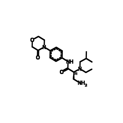 CCN(CC(C)C)[C@@H](CN)C(=O)Nc1ccc(N2CCOCC2=O)cc1